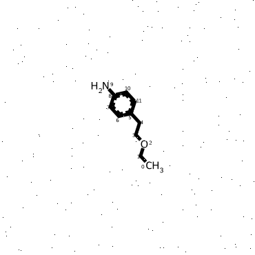 CCOCCc1ccc(N)cc1